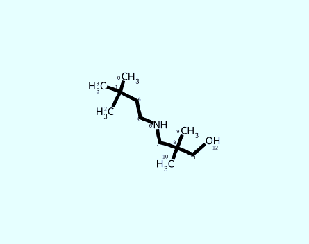 CC(C)(C)CCNCC(C)(C)CO